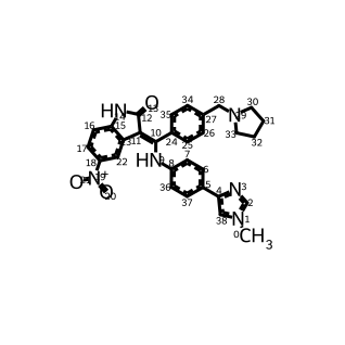 Cn1cnc(-c2ccc(NC(=C3C(=O)Nc4ccc([N+](=O)[O-])cc43)c3ccc(CN4CCCC4)cc3)cc2)c1